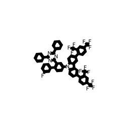 Fc1cccc(-c2ccc(-n3c4ccc(-c5ccc(C(F)(F)F)cc5C(F)(F)F)cc4c4cc(-c5ccc(C(F)(F)F)cc5C(F)(F)F)ccc43)cc2-c2nc(-c3ccccc3)nc(-c3ccccc3)n2)c1